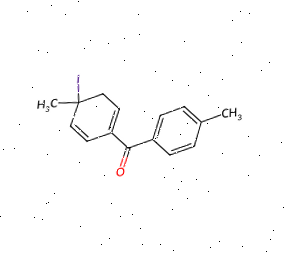 Cc1ccc(C(=O)C2=CCC(C)(I)C=C2)cc1